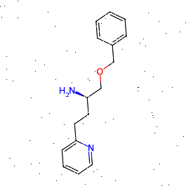 N[C@H](CCc1ccccn1)COCc1ccccc1